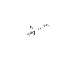 [BaH2].[Fe].[MgH2].[Mn]